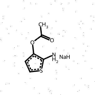 CC(=O)Oc1ccsc1N.[NaH]